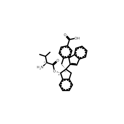 CC(C)[C@H](N)C(=O)O[C@H]1c2ccccc2C[C@]1(Cc1ccc(C(=O)O)cc1)C1=Cc2ccccc2C1